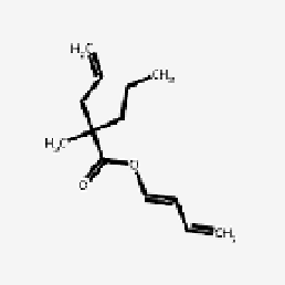 C=CC=COC(=O)C(C)(CC=C)CCC